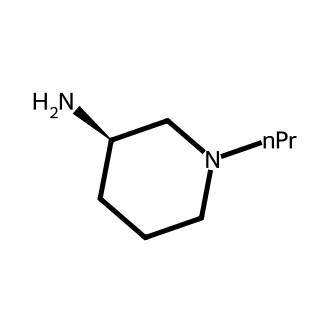 CCCN1CCC[C@@H](N)C1